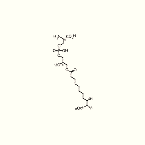 [3H]C(CCCCCCCC)C([3H])CCCCCCCC(=O)OC[C@@H](O)COP(=O)(O)OC[C@H](N)C(=O)O